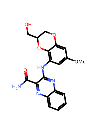 COc1cc(Nc2nc3ccccc3nc2C(N)=O)c2c(c1)OCC(CO)O2